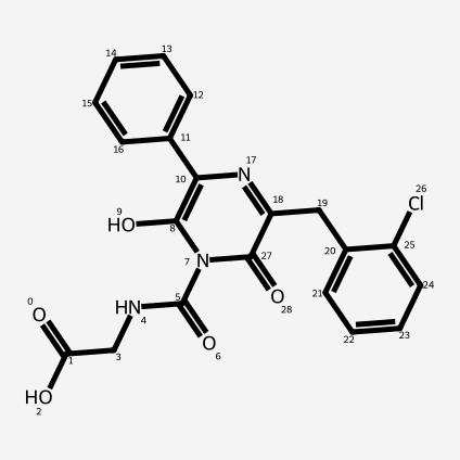 O=C(O)CNC(=O)n1c(O)c(-c2ccccc2)nc(Cc2ccccc2Cl)c1=O